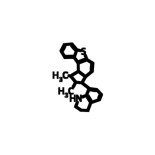 CC1C(C)C2c3c(sc4ccccc34)C=CC2C1c1cccc2c1NCCC2